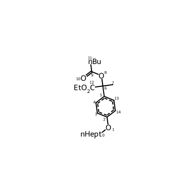 CCCCCCCOc1ccc(C(C)(OC(=O)CCCC)C(=O)OCC)cc1